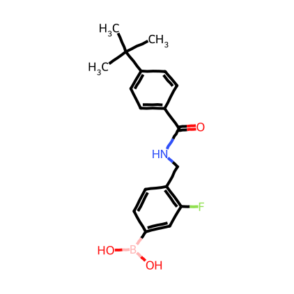 CC(C)(C)c1ccc(C(=O)NCc2ccc(B(O)O)cc2F)cc1